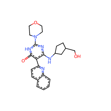 O=c1[nH]c(N2CCOCC2)nc(NC2CCC(CO)C2)c1-c1ccc2ccccc2n1